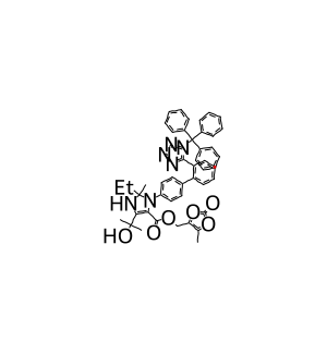 CCC1(C)NC(C(C)(C)O)=C(C(=O)OCc2oc(=O)oc2C)N1c1ccc(-c2ccccc2-c2nnnn2C(c2ccccc2)(c2ccccc2)c2ccccc2)cc1